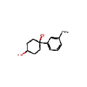 COc1cccc(C2(O)CCC(O)CC2)c1